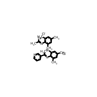 CC(=Nc1c(C)cc(C)cc1Br)c1cccnc1.C[C]([Fe+2])=Nc1c(C)cc(C)cc1C.[Cl-].[Cl-]